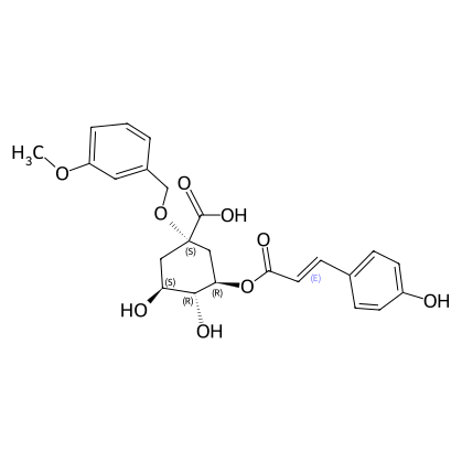 COc1cccc(CO[C@@]2(C(=O)O)C[C@H](O)[C@@H](O)[C@H](OC(=O)/C=C/c3ccc(O)cc3)C2)c1